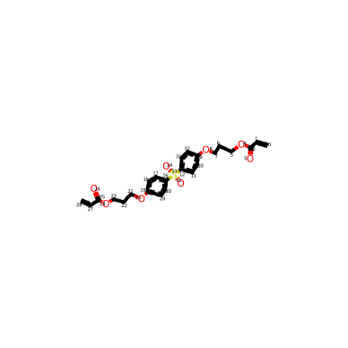 C=CC(=O)OCCCOc1ccc(S(=O)(=O)c2ccc(OCCCOC(=O)C=C)cc2)cc1